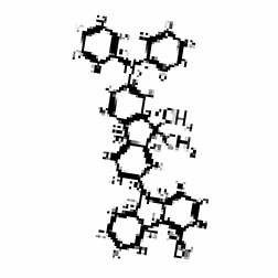 CC1(C)c2cc(N(c3ccccc3)c3ccccc3)ccc2-c2ccc(-n3c4ccccc4c4c(Br)cccc43)cc21